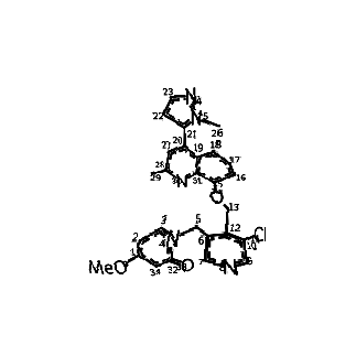 COc1ccn(Cc2cncc(Cl)c2COc2cccc3c(-c4ccnn4C)cc(C)nc23)c(=O)c1